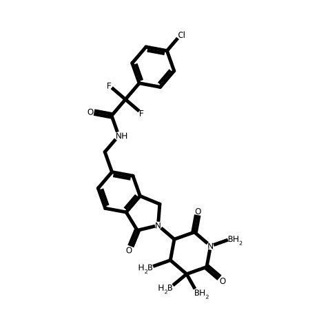 BC1C(N2Cc3cc(CNC(=O)C(F)(F)c4ccc(Cl)cc4)ccc3C2=O)C(=O)N(B)C(=O)C1(B)B